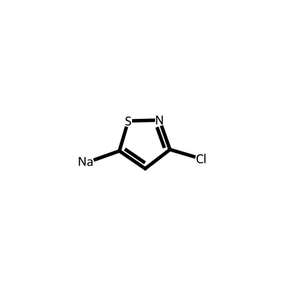 [Na][c]1cc(Cl)ns1